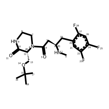 CN[C@@H](CC(=O)N1CCNC(=O)[C@H]1COC(C)(C)C)Cc1cc(F)c(F)cc1F